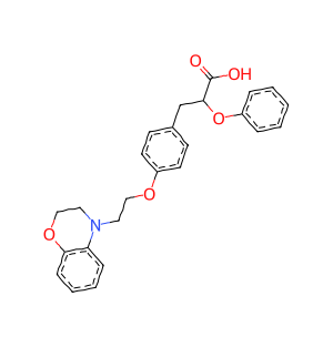 O=C(O)C(Cc1ccc(OCCN2CCOc3ccccc32)cc1)Oc1ccccc1